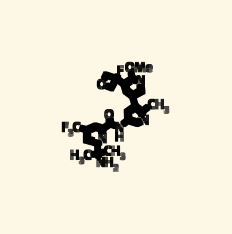 COc1ncc(-c2cc(NC(=O)c3cc(C(F)(F)F)cc(C(C)(C)N)n3)cnc2C)cc1C1(F)COC1